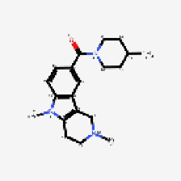 CCCn1c2c(c3cc(C(=O)N4CCC(C)CC4)ccc31)CN(C(C)C)CC2